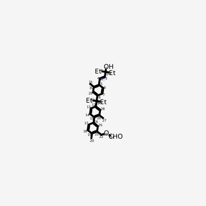 CCC(O)(/C=C/c1ccc(C(CC)(CC)c2ccc(-c3ccc(C)c(COC=O)c3)c(C)c2)cc1C)CC